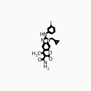 Cc1c(C(N)=O)c(=O)oc2cc3c(cc12)nc(Nc1cccc(I)c1)n3CC1CC1